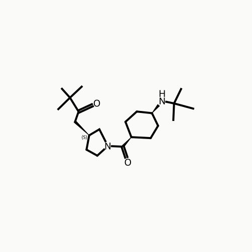 CC(C)(C)N[C@H]1CC[C@@H](C(=O)N2CC[C@@H](CC(=O)C(C)(C)C)C2)CC1